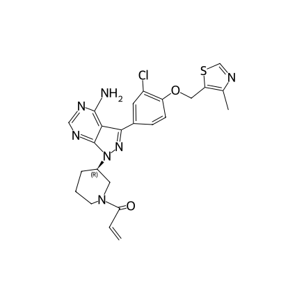 C=CC(=O)N1CCC[C@@H](n2nc(-c3ccc(OCc4scnc4C)c(Cl)c3)c3c(N)ncnc32)C1